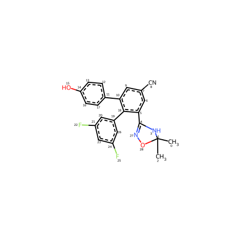 CC1(C)NC(c2cc(C#N)cc(-c3ccc(O)cc3)c2-c2cc(F)cc(F)c2)=NO1